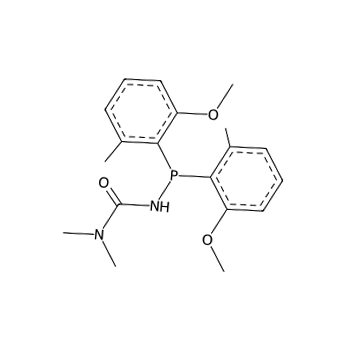 COc1cccc(C)c1P(NC(=O)N(C)C)c1c(C)cccc1OC